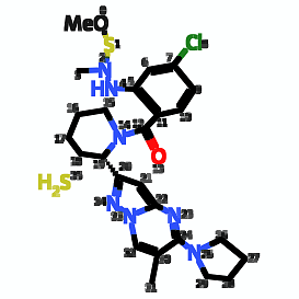 COSN(C)Nc1cc(Cl)ccc1C(=O)N1CCCC[C@H]1c1cc2nc(N3CCCC3)c(C)cn2n1.S